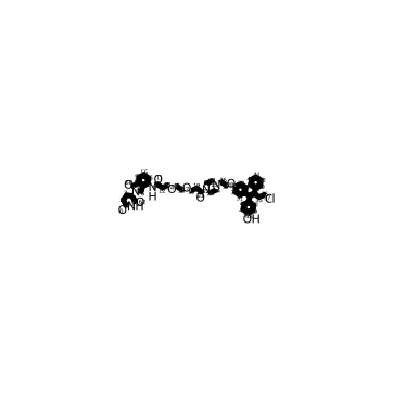 O=C1CCC(N2Cc3c(NC(=O)CCOCCOCCC(=O)N4CCN(CCOc5ccc(C(=C(CCCl)c6ccccc6)c6ccc(O)cc6)cc5)CC4)cccc3C2=O)C(=O)N1